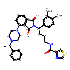 COc1ccc([C@@H](CCCNC(=O)c2cscn2)N2C(=O)c3cccc(N4CCN([C@H](C)c5ccccc5)CC4)c3C2=O)cc1OC